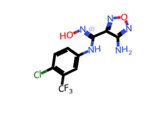 Nc1nonc1/C(=N/O)Nc1ccc(Cl)c(C(F)(F)F)c1